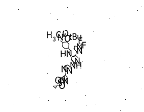 CN(CC1CCC(CNc2cc(Nc3ccnc(-c4cnn(S(=O)(=O)C5CC5)c4)n3)ncc2-c2ccn(C(F)F)n2)CC1)C(=O)OC(C)(C)C